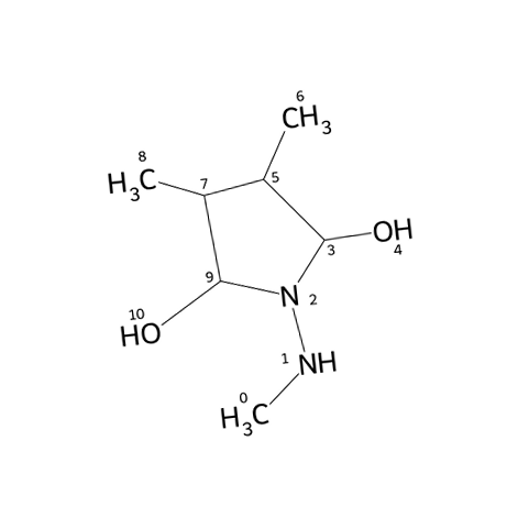 CNN1C(O)C(C)C(C)C1O